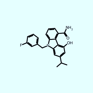 CC(C)c1cc(O)c2c3c(C(N)=O)cccc3n(Cc3cccc(F)c3)c2c1